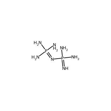 N=P(N)(N)N=P(N)(N)N